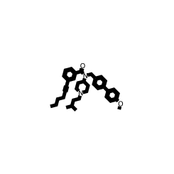 CCCCC#Cc1cccc(C(=O)N(Cc2ccc(-c3ccc(OC)cc3)cc2)C2CCN(CCC(C)C)CC2)c1